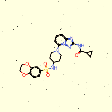 O=C(Nc1nc2cccc(N3CCC(NS(=O)(=O)c4ccc5c(c4)OCCO5)CC3)n2n1)C1CC1